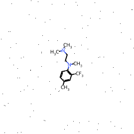 Cc1ccc(N(C)CCN(C)C)c(C(F)(F)F)c1